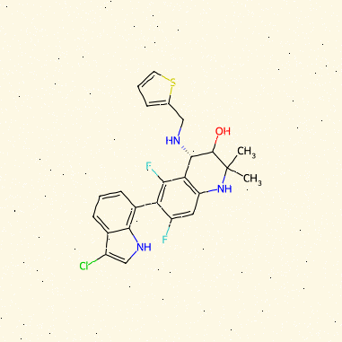 CC1(C)Nc2cc(F)c(-c3cccc4c(Cl)c[nH]c34)c(F)c2[C@H](NCc2cccs2)C1O